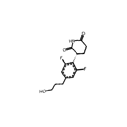 O=C1CC[C@H](c2c(F)cc(CCCO)cc2F)C(=O)N1